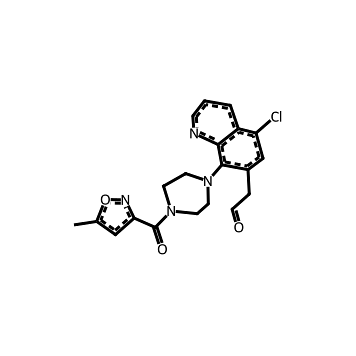 Cc1cc(C(=O)N2CCN(c3c(CC=O)cc(Cl)c4cccnc34)CC2)no1